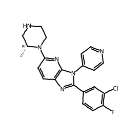 C[C@@H]1CNCCN1c1ccc2nc(-c3ccc(F)c(Cl)c3)n(-c3ccncc3)c2n1